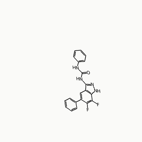 O=C(Nc1ccccc1)Nc1n[nH]c2c(F)c(F)c(-c3ccccc3)cc12